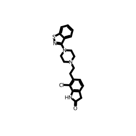 O=C1Cc2ccc(CCN3CCN(c4nsc5ccccc45)CC3)c(Cl)c2N1